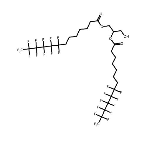 O=C(CCCCCCC(F)(F)C(F)(F)C(F)(F)C(F)(F)C(F)(F)C(F)(F)F)OCC(CO)OC(=O)CCCCCCC(F)(F)C(F)(F)C(F)(F)C(F)(F)C(F)(F)C(F)(F)F